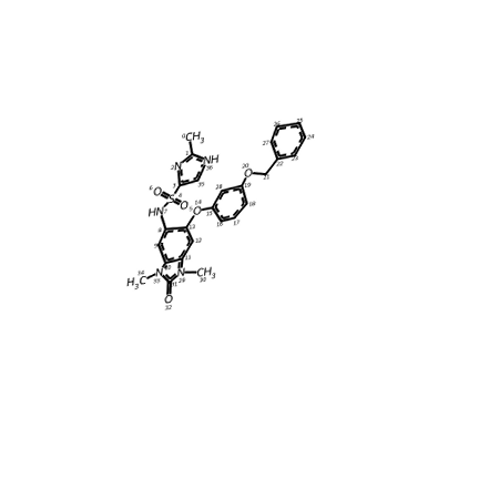 Cc1nc(S(=O)(=O)Nc2cc3c(cc2Oc2cccc(OCc4ccccc4)c2)n(C)c(=O)n3C)c[nH]1